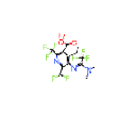 CCc1c(N=C(N(C)C)C(F)(F)F)c(C(F)F)nc(C(F)(F)F)c1C(=O)O